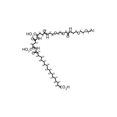 CC(=O)COCCOCCNC(=O)COCCOCCNC(=O)CCC(NC(=O)CCC(NC(=O)CCCCCCCCCCCCCCCCC(=O)O)C(=O)O)C(=O)O